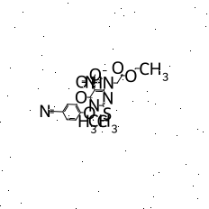 CCOC(=O)CNc1nc(SC)nc(Oc2cc(C#N)ccc2OC)c1[N+](=O)[O-]